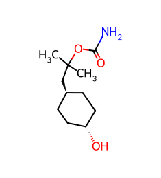 CC(C)(C[C@H]1CC[C@H](O)CC1)OC(N)=O